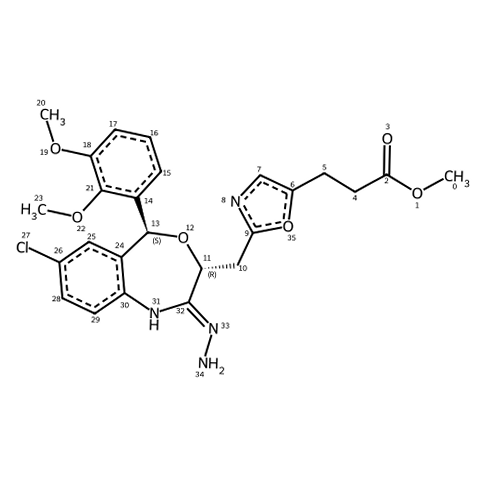 COC(=O)CCc1cnc(C[C@H]2O[C@H](c3cccc(OC)c3OC)c3cc(Cl)ccc3NC2=NN)o1